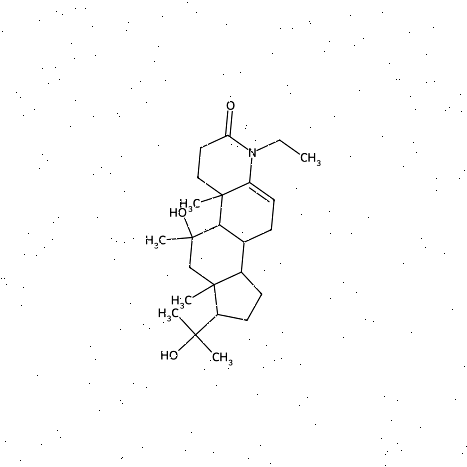 CCN1C(=O)CCC2(C)C1=CCC1C2C(C)(O)CC2(C)C1CCC2C(C)(C)O